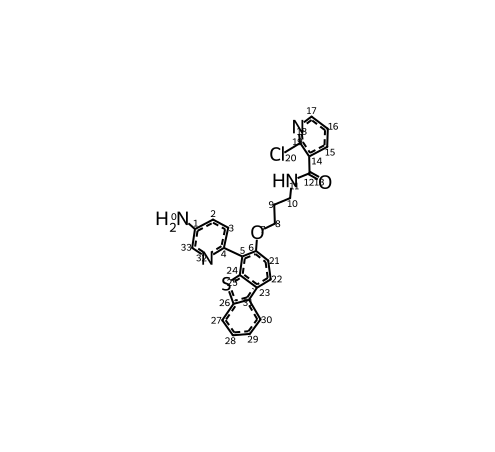 Nc1ccc(-c2c(OCCCNC(=O)c3cccnc3Cl)ccc3c2sc2ccccc23)nc1